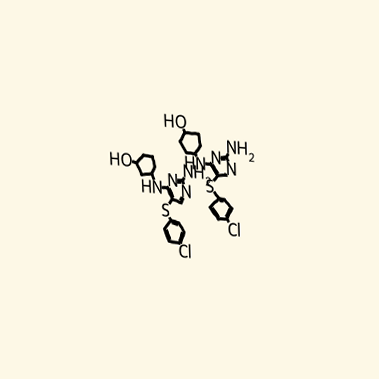 Nc1ncc(Sc2ccc(Cl)cc2)c(NC2CCC(O)CC2)n1.Nc1ncc(Sc2ccc(Cl)cc2)c(NC2CCCC(O)C2)n1